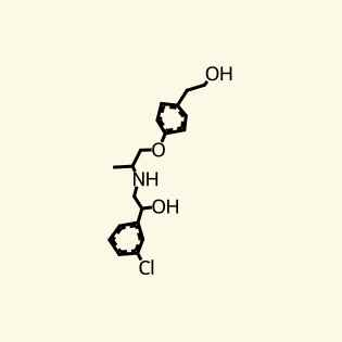 CC(COc1ccc(CCO)cc1)NCC(O)c1cccc(Cl)c1